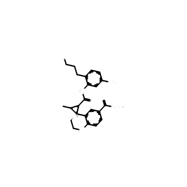 CNC(=O)c1ccc2c(c1)[C@]1(CCO2)C(C)C1C(=O)Nc1cc(C#N)ccc1CCCC(=O)O